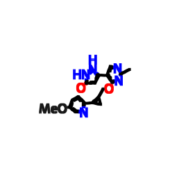 COc1ccc(C2=C(COc3nc(C)ncc3-c3cc(=O)[nH][nH]3)C2)nc1